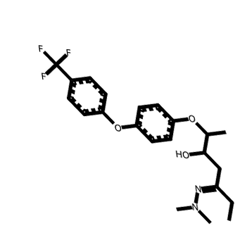 CCC(CC(O)C(C)Oc1ccc(Oc2ccc(C(F)(F)F)cc2)cc1)=NN(C)C